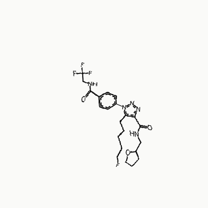 O=C(NCC(F)(F)F)c1ccc(-n2nnc(C(=O)NCC3CCCO3)c2CCCCCF)cc1